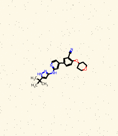 CC(C)(C)c1cc(Nc2cc(-c3ccc(OC4CCOCC4)c(C#N)c3)ccn2)n[nH]1